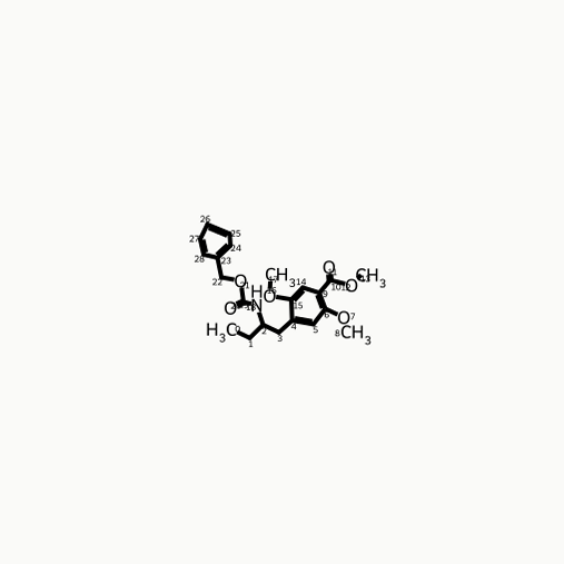 CCC(Cc1cc(OC)c(C(=O)OC)cc1OC)NC(=O)OCc1ccccc1